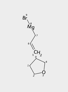 C1CCOC1.C=C[CH2][Mg][Br]